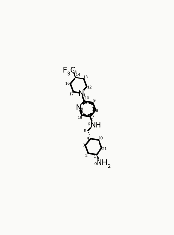 N[C@H]1CC[C@H](CNc2ccc(N3CCC(C(F)(F)F)CC3)nc2)CC1